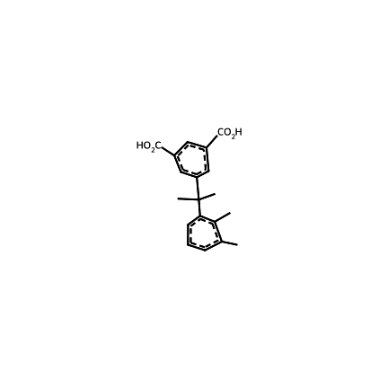 Cc1cccc(C(C)(C)c2cc(C(=O)O)cc(C(=O)O)c2)c1C